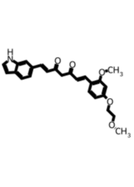 COCCOc1ccc(C=CC(=O)CC(=O)C=Cc2ccc3cc[nH]c3c2)c(OC)c1